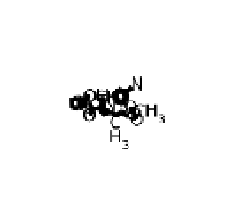 Cc1c(C(=O)CN2C3CCC2C(O)C3)cc(C(C)CCS(C)(=O)=O)n1-c1ccc(C#N)cc1